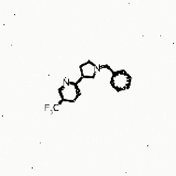 FC(F)(F)C1C=NC(C2CCN(Cc3ccccc3)C2)=CC1